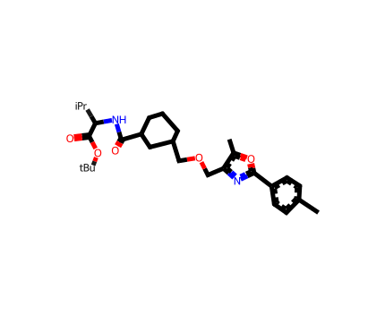 Cc1ccc(-c2nc(COCC3CCCC(C(=O)NC(C(=O)OC(C)(C)C)C(C)C)C3)c(C)o2)cc1